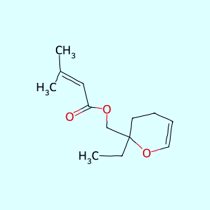 CCC1(COC(=O)C=C(C)C)CCC=CO1